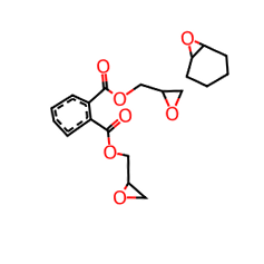 C1CCC2OC2C1.O=C(OCC1CO1)c1ccccc1C(=O)OCC1CO1